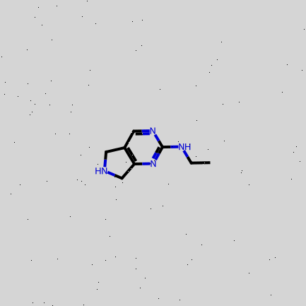 CCNc1ncc2c(n1)CNC2